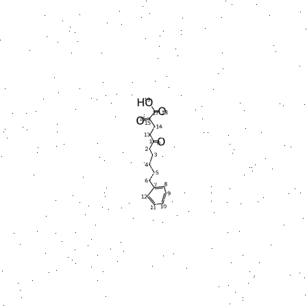 O=C(CCCCCc1ccccc1)CCC(=O)C(=O)O